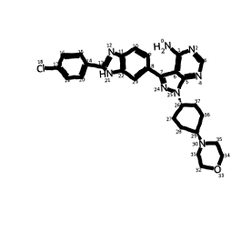 Nc1ncnc2c1c(-c1ccc3nc(-c4ccc(Cl)cc4)[nH]c3c1)nn2[C@H]1CC[C@H](N2CCOCC2)CC1